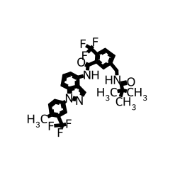 Cc1ccc(-n2ncc3c(NC(=O)c4cc(CNC(=O)C(C)(C)C)ccc4C(F)(F)F)cccc32)cc1C(F)(F)F